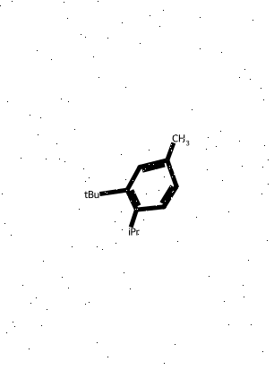 Cc1ccc(C(C)C)c(C(C)(C)C)c1